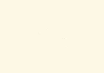 CCCOC(C)[CH]OCC